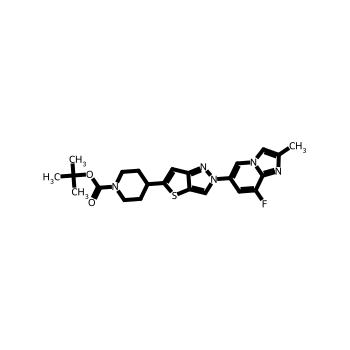 Cc1cn2cc(-n3cc4sc(C5CCN(C(=O)OC(C)(C)C)CC5)cc4n3)cc(F)c2n1